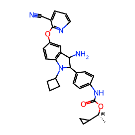 C[C@@H](OC(=O)Nc1ccc(C2C(N)c3cc(Oc4ncccc4C#N)ccc3N2C2CCC2)cc1)C1CC1